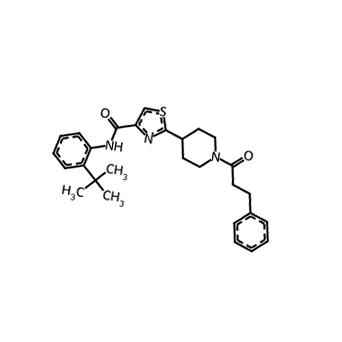 CC(C)(C)c1ccccc1NC(=O)c1csc(C2CCN(C(=O)CCc3ccccc3)CC2)n1